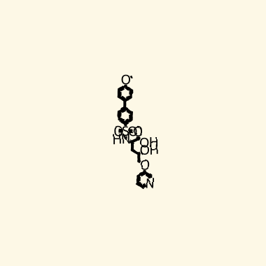 COc1ccc(-c2ccc(S(=O)(=O)NC(CC(O)COc3cccnc3)C(=O)O)cc2)cc1